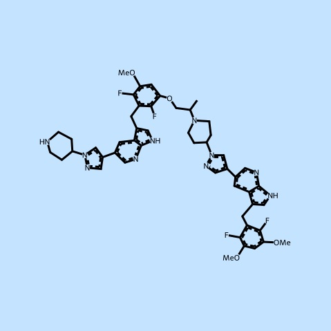 COc1cc(OC)c(F)c(Cc2c[nH]c3ncc(-c4cnn(C5CCN(C(C)COc6cc(OC)c(F)c(Cc7c[nH]c8ncc(-c9cnn(C%10CCNCC%10)c9)cc78)c6F)CC5)c4)cc23)c1F